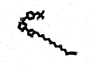 [N-]=[N+]=NCCOCCOCCOCCn1cc(-c2cc(Nc3ccc(OC(F)(F)F)cc3)ncn2)cn1